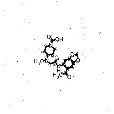 CC(=O)c1cc2c(cc1NC(=O)CN(C)C1CCN(C(=O)O)CC1)OCO2